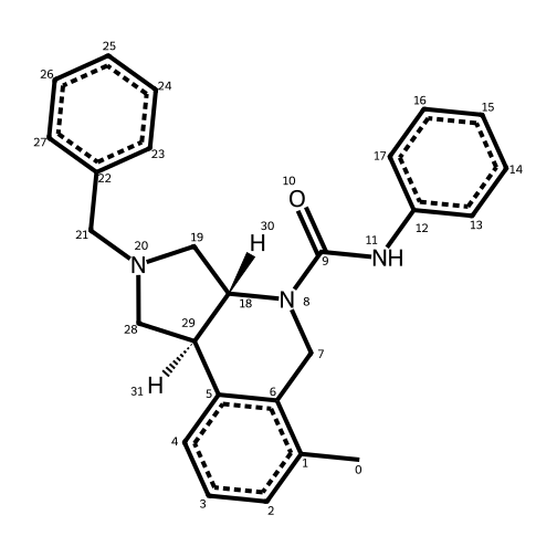 Cc1cccc2c1CN(C(=O)Nc1ccccc1)[C@H]1CN(Cc3ccccc3)C[C@H]21